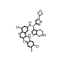 N#Cc1cnc2c(Cl)cc(N[C@H](c3cn(C4COC4)nn3)c3csc4c3CCNC4)cc2c1Nc1ccc(F)c(Cl)c1